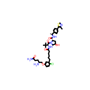 Cc1ncsc1-c1ccc([C@H](C)NC(=O)[C@@H]2C[C@@H](O)CN2C(=O)[C@@H](NC(=O)CCCCCc2cc(OC[C@@H](N)CCC(N)=O)ccc2Cl)C(C)(C)C)cc1